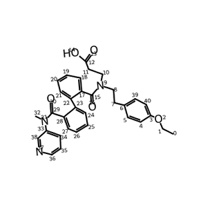 CCOc1ccc(CCN(CCC(=O)O)C(=O)c2ccccc2-c2ccccc2C(=O)N(C)c2cccnc2)cc1